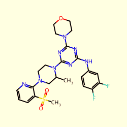 CC1CN(c2ncccc2S(C)(=O)=O)CCN1c1nc(Nc2ccc(F)c(F)c2)nc(N2CCOCC2)n1